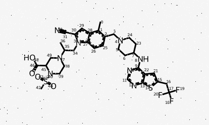 Cc1c(CN2CCC(Nc3ncnc4sc(CC(F)(F)F)cc34)CC2)ccc2c1cc(C#N)n2CC(C)N1CCN(S(C)(=O)=O)C(C(=O)O)C1